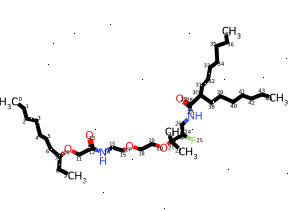 CCCCCCCC(CC)OCC(=O)NCCOCCOC(C)(C)C(F)CNC(=O)C(CCCCCCC)CCCCCCC